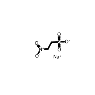 O=[N+]([O-])CCS(=O)(=O)[O-].[Na+]